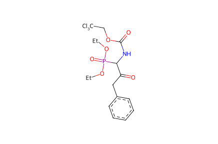 CCOP(=O)(OCC)C(NC(=O)OCC(Cl)(Cl)Cl)C(=O)Cc1ccccc1